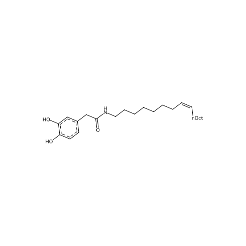 CCCCCCCC/C=C\CCCCCCCNC(=O)Cc1ccc(O)c(O)c1